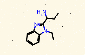 CCC(N)c1nc2ccccc2n1CC